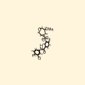 COC1COCCN(S(=O)(=O)c2cc(C(=O)Nc3ccc(F)c(Cl)c3)ccc2F)C1